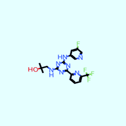 CC(C)(O)CNc1nc(Nc2cncc(F)c2)nc(-c2cccc(C(F)(F)F)n2)n1